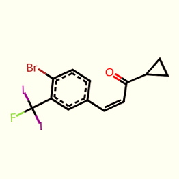 O=C(/C=C\c1ccc(Br)c(C(F)(I)I)c1)C1CC1